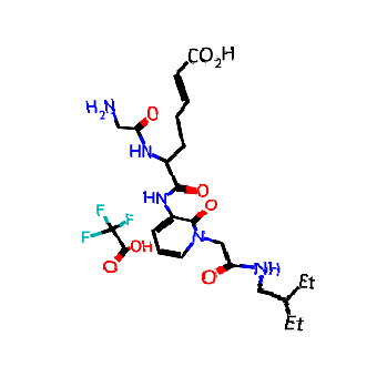 CCC(CC)CNC(=O)Cn1cccc(NC(=O)C(CCC=CC(=O)O)NC(=O)CN)c1=O.O=C(O)C(F)(F)F